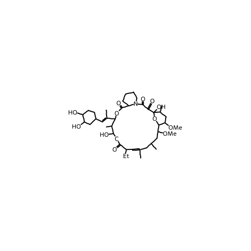 CCC1/C=C(\C)CC(C)CC(OC)C2OC(O)(C(=O)C(=O)N3CCCCC3C(=O)OC(C(C)=CC3CCC(O)C(O)C3)C(C)C(O)CC1=O)C(C)CC2OC